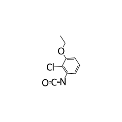 CCOc1cccc(N=C=O)c1Cl